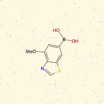 COc1cc(B(O)O)cc2scnc12